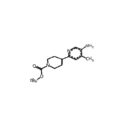 Cc1cc(C2CCN(C(=O)OC(C)(C)C)CC2)ncc1N